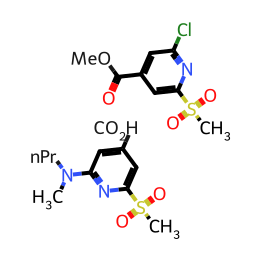 CCCN(C)c1cc(C(=O)O)cc(S(C)(=O)=O)n1.COC(=O)c1cc(Cl)nc(S(C)(=O)=O)c1